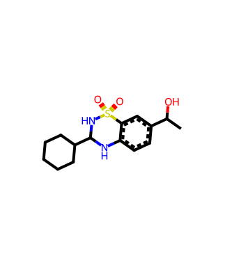 CC(O)c1ccc2c(c1)S(=O)(=O)NC(C1CCCCC1)N2